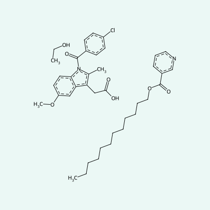 CCCCCCCCCCCCOC(=O)c1cccnc1.CCO.COc1ccc2c(c1)c(CC(=O)O)c(C)n2C(=O)c1ccc(Cl)cc1